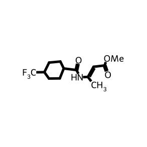 COC(=O)C=C(C)NC(=O)C1CCC(C(F)(F)F)CC1